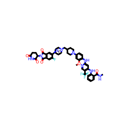 CNC(=O)c1ccccc1Nc1cc(Nc2ccc(N3CCC(CN4CC5CCC4CN5c4cc5c(cc4F)C(=O)N(C4CCC(=O)NC4=O)C5=O)CC3)cc2OC)ncc1C(F)(F)F